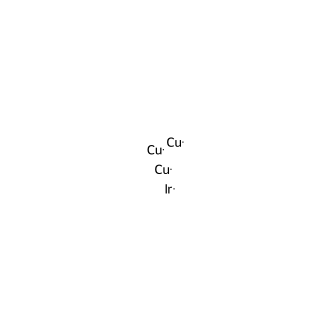 [Cu].[Cu].[Cu].[Ir]